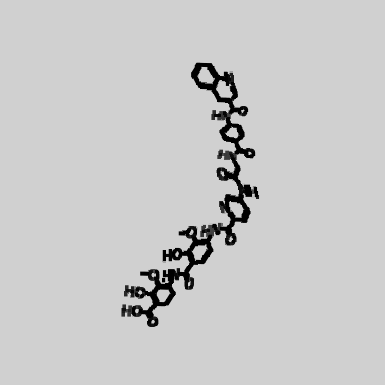 COc1c(NC(=O)c2ccc(NC(=O)c3ccc(NC(=O)CNC(=O)c4ccc(NC(=O)c5cnc6ccccc6c5)cc4)cn3)c(OC)c2O)ccc(C(=O)O)c1O